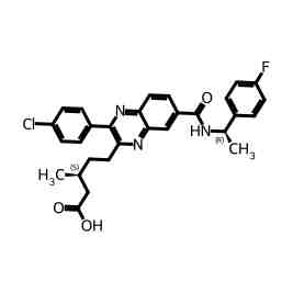 C[C@@H](CCc1nc2cc(C(=O)N[C@H](C)c3ccc(F)cc3)ccc2nc1-c1ccc(Cl)cc1)CC(=O)O